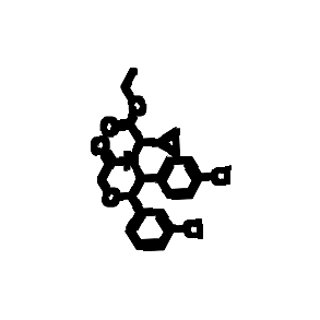 CCOC(=O)C(C1CC1)N1C(=O)COC(c2cccc(Cl)c2)C1c1ccc(Cl)cc1